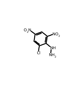 NNc1c(Cl)cc([N+](=O)[O-])cc1[N+](=O)[O-]